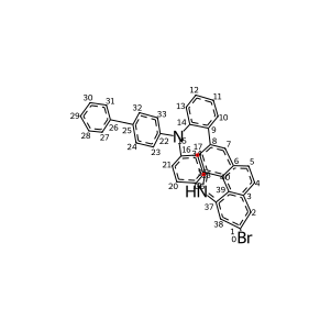 Brc1cc2ccc3cc(-c4ccccc4N(c4ccccc4)c4ccc(-c5ccccc5)cc4)cc4[nH]c(c1)c2c34